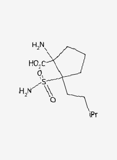 CC(C)CCC1(S(N)(=O)=O)CCCC1(N)C(=O)O